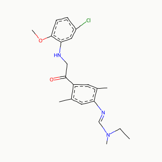 CCN(C)C=Nc1cc(C)c(C(=O)CNc2cc(Cl)ccc2OC)cc1C